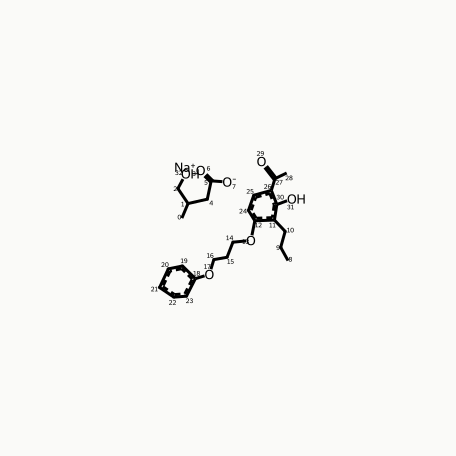 CC(CO)CC(=O)[O-].CCCc1c(OCCCOc2ccccc2)ccc(C(C)=O)c1O.[Na+]